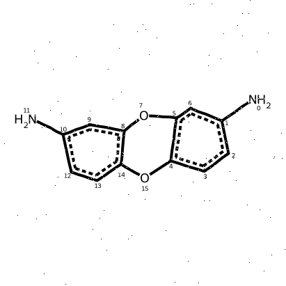 Nc1ccc2c(c1)Oc1cc(N)ccc1O2